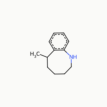 CC1CCCCNc2ccccc21